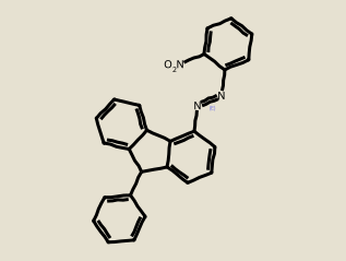 O=[N+]([O-])c1ccccc1/N=N/c1cccc2c1-c1ccccc1C2c1ccccc1